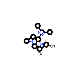 N#Cc1ccc2c(c1)c1cc(C#N)ccc1n2-c1cc(-c2nc(-c3ccccc3)cc(-c3ccccc3)n2)ccc1-c1ccccc1-n1c2ccccc2c2ccccc21